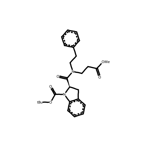 COC(=O)CCN(CCc1ccccc1)C(=O)[C@H]1Cc2ccccc2N1C(=O)OC(C)(C)C